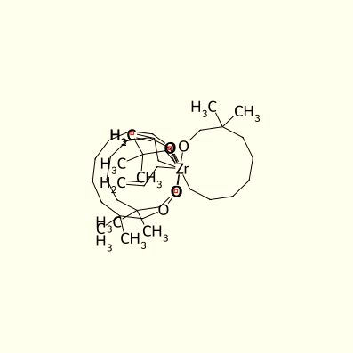 C=C[CH2][Zr]123(=[O])([CH2]C=C)([CH2]C(C)(C)C)([CH2]CCCCCC(C)(C)C[O]1)([CH2]CCCCCC(C)(C)C[O]2)[O]CCCCCCC(C)(C)CO[O]3